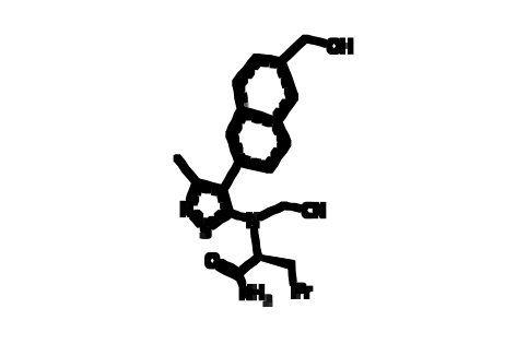 Cc1nsc(N(CC#N)[C@@H](CC(C)C)C(N)=O)c1-c1ccc2cc(CO)ccc2c1